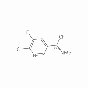 CN[C@@H](c1cnc(Cl)c(F)c1)C(F)(F)F